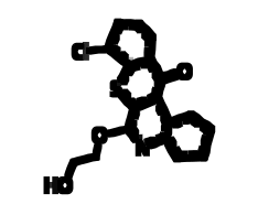 O=c1c2cccc(Cl)c2sc2c(OCCO)nc3ccccc3c12